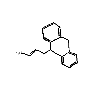 NC=CCC1c2ccccc2Cc2ccccc21